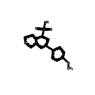 COc1ccc(-c2cc(S(=O)(=O)O)c3ccncc3c2)cc1